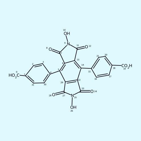 O=C(O)c1ccc(-c2c3c(=O)n(O)c(=O)c3c(-c3ccc(C(=O)O)cc3)c3c(=O)n(O)c(=O)c23)cc1